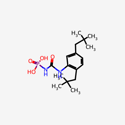 CC(C)(C)Cc1ccc(CC(C)(C)C)c(NC(=O)NP(=O)(O)O)c1